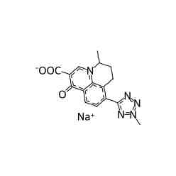 CC1CCc2c(-c3nnn(C)n3)ccc3c(=O)c(C(=O)[O-])cn1c23.[Na+]